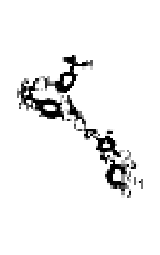 Cc1ccc(-c2c(C)noc2C)cc1N(CCCOC1CN(c2cc3c(cc2F)C(=O)N(C2CCC(=O)NC2=O)C3)C1)c1ccc(C2(C#N)CC2)cc1